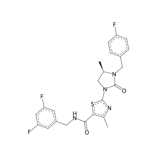 Cc1nc(N2C[C@@H](C)N(Cc3ccc(F)cc3)C2=O)sc1C(=O)NCc1cc(F)cc(F)c1